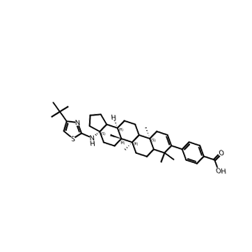 CC(C)(C)c1csc(N[C@]23CCCC2[C@H]2CCC4[C@@]5(C)CC=C(c6ccc(C(=O)O)cc6)C(C)(C)C5CC[C@@]4(C)[C@]2(C)CC3)n1